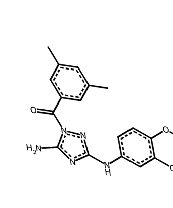 Cc1cc(C)cc(C(=O)n2nc(Nc3ccc4c(c3)OCCO4)nc2N)c1